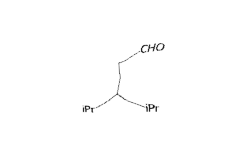 CC(C)C(CC=O)C(C)C